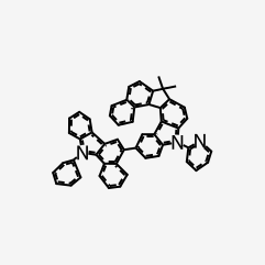 CC1(C)c2ccc3ccccc3c2-c2c1ccc1c2c2cc(-c3cc4c5ccccc5n(-c5ccccc5)c4c4ccccc34)ccc2n1-c1ccccn1